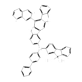 CC1(C)c2ccccc2-c2ccc(N(c3ccc(-c4ccccc4)cc3)c3ccc4oc5c(-c6ccc7ccccc7c6)c6c(cc5c4c3)oc3ccccc36)cc21